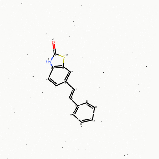 O=c1[nH]c2ccc(C=Cc3ccccc3)cc2s1